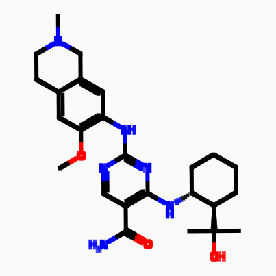 COc1cc2c(cc1Nc1ncc(C(N)=O)c(N[C@@H]3CCCC[C@H]3C(C)(C)O)n1)CN(C)CC2